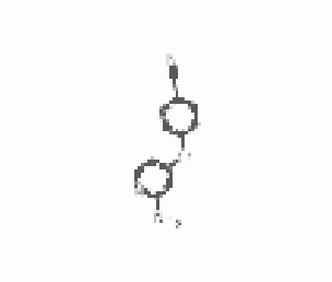 N#Cc1ccc(Oc2ccnc(N)c2)cc1